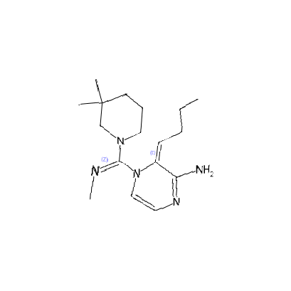 CCC/C=C1\C(N)=NC=CN1/C(=N\C)N1CCCC(C)(C)C1